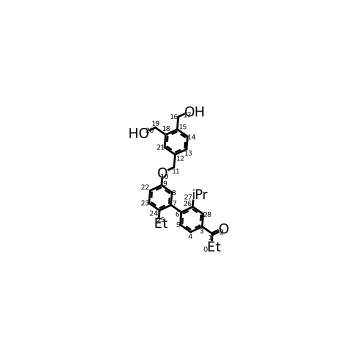 CCC(=O)c1ccc(-c2cc(OCc3ccc(CO)c(CO)c3)ccc2CC)c(C(C)C)c1